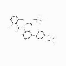 CC(C)(C)OC(=O)CN(C(=O)c1c(F)cccc1F)c1cccc(-c2ccc(NS(C)(=O)=O)cc2)c1